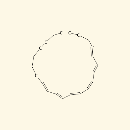 [C]1=C/C=C/C=C\C=C\C=C\C=C\CCCCCCCCCC/1